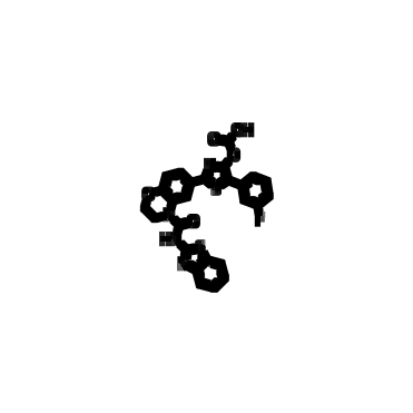 O=C(O)Oc1nc(-c2ccc3c(c2)N(C(=O)Nc2nc4ccccc4s2)CCO3)sc1-c1cccc(F)c1